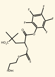 CCCCCCCCCCCCSC(=S)SC(CC(C)(C)C(=O)O)C(=O)Oc1c(F)c(F)c(F)c(F)c1F